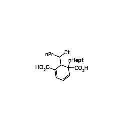 CCCCCCCC1(C(=O)O)C=CC=C(C(=O)O)C1C(CC)CCC